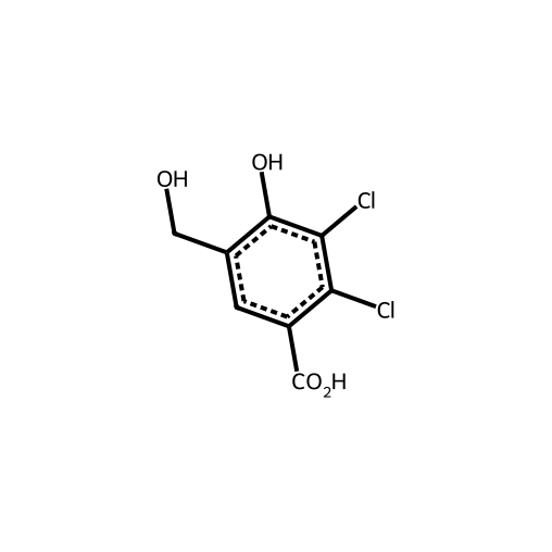 O=C(O)c1cc(CO)c(O)c(Cl)c1Cl